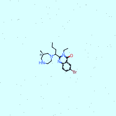 CCCC(c1nc2ccc(Br)cc2c(=O)n1CC)N1CCNC[C@@H](C)C1